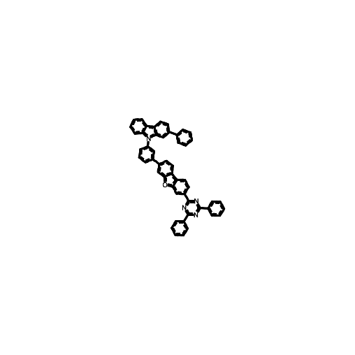 c1ccc(-c2ccc3c4ccccc4n(-c4cccc(-c5ccc6c(c5)oc5cc(-c7nc(-c8ccccc8)nc(-c8ccccc8)n7)ccc56)c4)c3c2)cc1